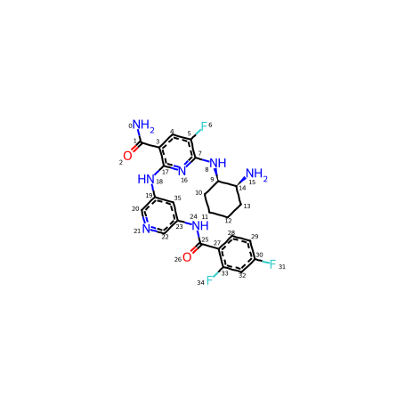 NC(=O)c1cc(F)c(N[C@@H]2CCCC[C@@H]2N)nc1Nc1cncc(NC(=O)c2ccc(F)cc2F)c1